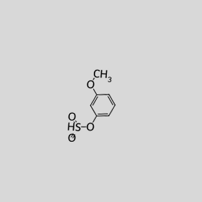 COc1cccc(O[SH](=O)=O)c1